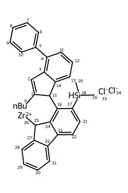 CCCCC1=Cc2c(-c3ccccc3)cccc2C1c1c([SiH](C)C)ccc2c1[CH]([Zr+2])c1ccccc1-2.[Cl-].[Cl-]